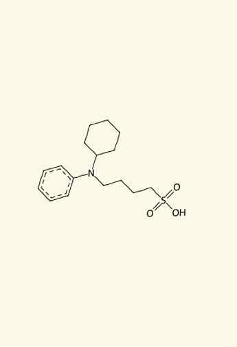 O=S(=O)(O)CCCCN(c1ccccc1)C1CCCCC1